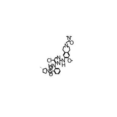 COc1cc2c(cc1Nc1ncc(Cl)c(Nc3ccccc3S(=O)(=O)N3CC[C@H](C)C3)n1)CCN(CC(=O)N(C)C)CC2